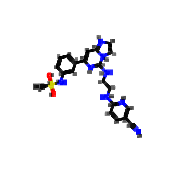 CS(=O)(=O)Nc1cccc(-c2cc3nccn3c(NCCNc3ccc(C#N)cn3)n2)c1